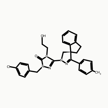 Cc1ccc(C2=NN(c3nn(Cc4ccc(Cl)cc4)c(=O)n3CCO)C[C@@]23CCc2ccccc23)cc1